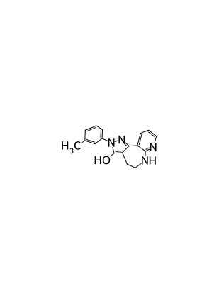 Cc1cccc(-n2nc3c(c2O)CCNc2ncccc2-3)c1